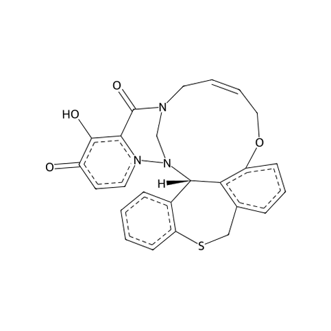 O=C1c2c(O)c(=O)ccn2N2CN1C/C=C\COc1cccc3c1[C@@H]2c1ccccc1SC3